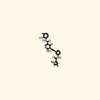 Cc1cc(C(=O)Nc2cccc(C#CC3C(=S)C(C(=O)Nc4cccc(C)c4O)=CN=C3N)c2)n(C)n1